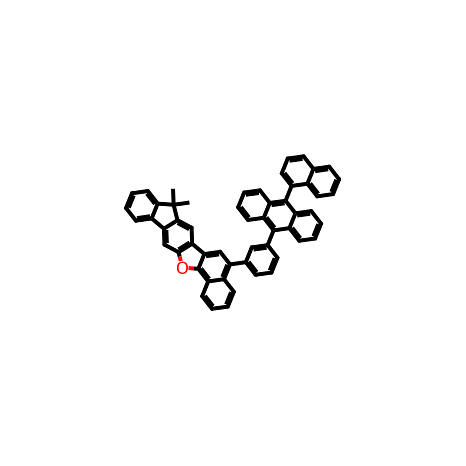 CC1(C)c2ccccc2-c2cc3oc4c5ccccc5c(-c5cccc(-c6c7ccccc7c(-c7cccc8ccccc78)c7ccccc67)c5)cc4c3cc21